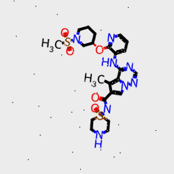 Cc1c(C(=O)N=S2(=O)CCNCC2)cn2ncnc(Nc3cccnc3O[C@@H]3CCCN(S(C)(=O)=O)C3)c12